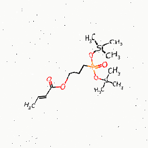 CC=CC(=O)OCCCP(=O)(O[Si](C)(C)C)O[Si](C)(C)C